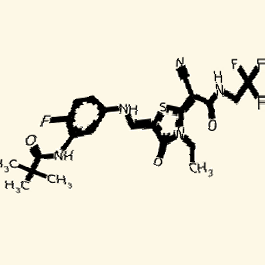 CCn1c(=C(C#N)C(=O)NCC(F)(F)F)sc(=CNc2ccc(F)c(NC(=O)C(C)(C)C)c2)c1=O